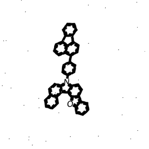 c1ccc2c(c1)-c1cccc3c(-c4ccc(-n5c6ccc7ccccc7c6c6c7oc8ccccc8c7ccc65)cc4)ccc-2c13